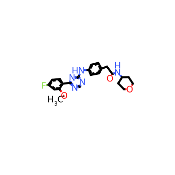 COc1cc(F)ccc1-c1ncnc(Nc2ccc(CC(=O)NC3CCOCC3)cc2)n1